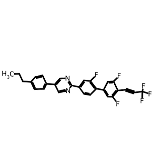 CCCc1ccc(-c2cnc(-c3ccc(-c4cc(F)c(C#CC(F)(F)F)c(F)c4)c(F)c3)nc2)cc1